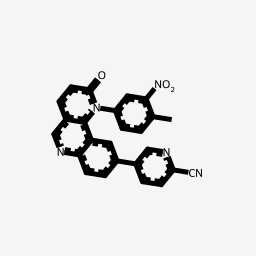 Cc1ccc(-n2c(=O)ccc3cnc4ccc(-c5ccc(C#N)nc5)cc4c32)cc1[N+](=O)[O-]